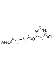 COCCOCCOc1ccnc(Cl)c1